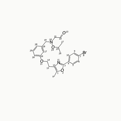 Cc1oc(-c2ccc(Br)cc2)nc1CCOc1[c]c(CN(CC=O)OC(C)C)ccc1